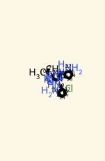 CC(C)n1nnc2c(NCc3c(N)cccc3Cl)nc(NC3CCCCC3N)nc21